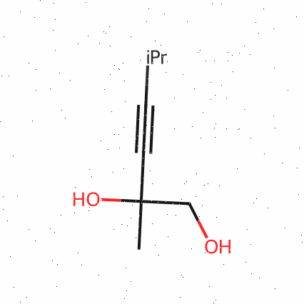 CC(C)C#CC(C)(O)CO